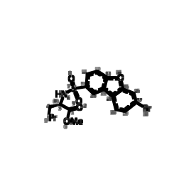 COC(=O)[C@@H](CC(C)C)NS(=O)(=O)c1ccc2oc3cc(Br)ccc3c2c1